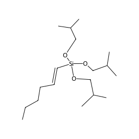 CCCCC=C[Si](OCC(C)C)(OCC(C)C)OCC(C)C